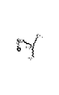 CC(=O)OSCc1ccccc1.CCCCCCCC[N+](C)(CCCCCCCC)CCCCCCCC